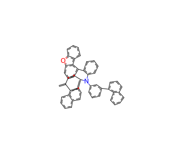 C=C(/C=C\C(=C/C)N(c1cccc(-c2cccc3ccccc23)c1)c1ccccc1-c1cccc2oc3ccccc3c12)c1cccc2ccccc12